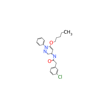 CCCCCOc1cc(=NC(=O)Cc2cccc(Cl)c2)cnn1-c1ccccc1